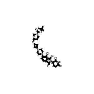 CC(C)(C)OC(=O)N1CCC(OC2CC(N3CCN(c4ccc5c(c4Cl)C(=O)N([C@@H]4CCC(=O)NC4=O)C5=O)CC3)C2)CC1